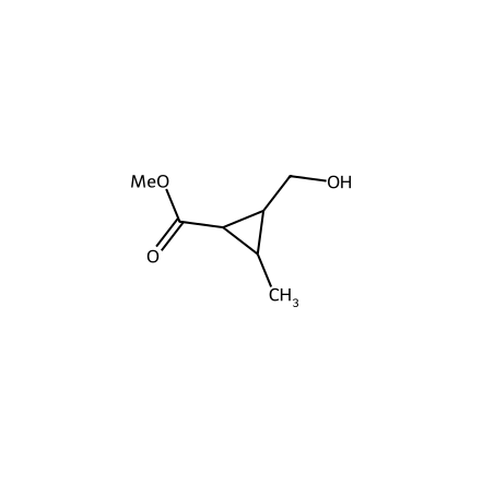 COC(=O)C1C(C)C1CO